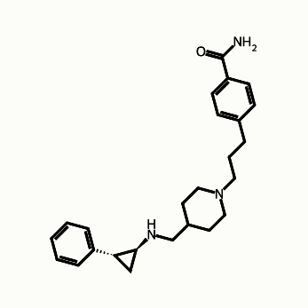 NC(=O)c1ccc(CCCN2CCC(CN[C@H]3C[C@@H]3c3ccccc3)CC2)cc1